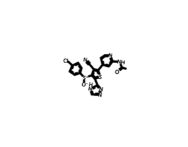 CC(=O)Nc1cc(-c2sc(-c3nnc[nH]3)c([S+]([O-])c3ccc(Cl)cc3)c2C#N)ccn1